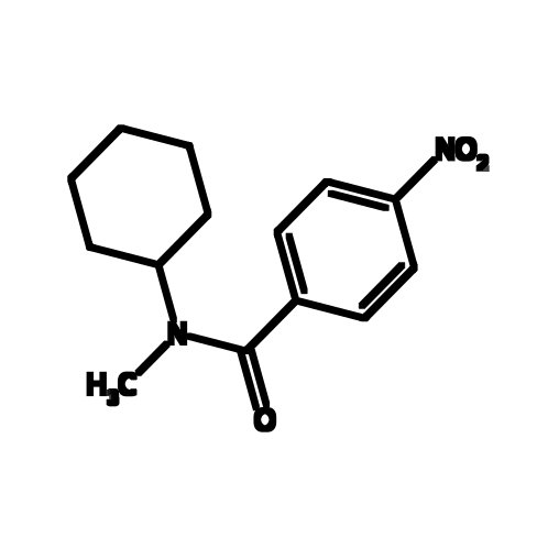 CN(C(=O)c1ccc([N+](=O)[O-])cc1)C1CCCCC1